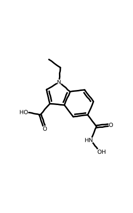 CCn1cc(C(=O)O)c2cc(C(=O)NO)ccc21